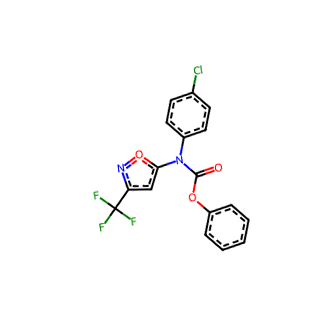 O=C(Oc1ccccc1)N(c1ccc(Cl)cc1)c1cc(C(F)(F)F)no1